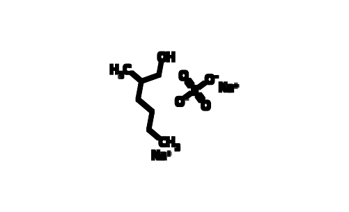 CCCCC(C)CO.O=S(=O)([O-])[O-].[Na+].[Na+]